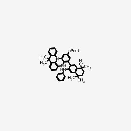 CCCCCc1cc(-c2cc3c(cc2Nc2ccccc2)C(C)(C)CCC3(C)C)c2c(c1)N1c3ccccc3C(C)(C)c3cccc(c31)B2